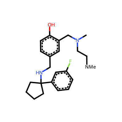 CNCCN(C)Cc1cc(CNC2(c3cccc(F)c3)CCCC2)ccc1O